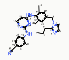 CCCc1nccn1Cc1cc(C)c(Nc2ccnc(Nc3ccc(C#N)cc3)n2)c(C)c1